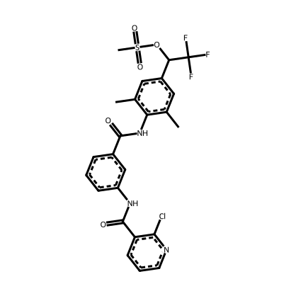 Cc1cc(C(OS(C)(=O)=O)C(F)(F)F)cc(C)c1NC(=O)c1cccc(NC(=O)c2cccnc2Cl)c1